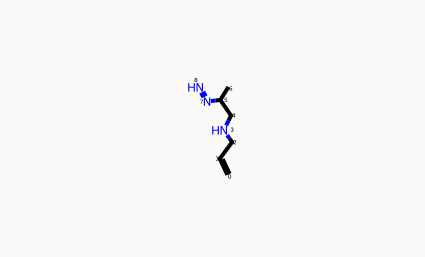 C=CCNCC(C)N=N